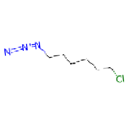 [N-]=[N+]=NCCCCCCCl